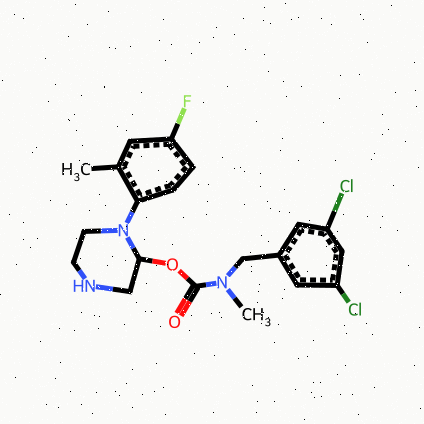 Cc1cc(F)ccc1N1CCNCC1OC(=O)N(C)Cc1cc(Cl)cc(Cl)c1